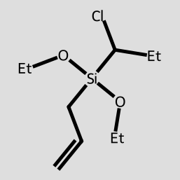 C=CC[Si](OCC)(OCC)C(Cl)CC